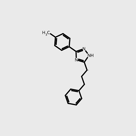 Cc1ccc(-c2n[nH]c([CH]CCc3ccccc3)n2)cc1